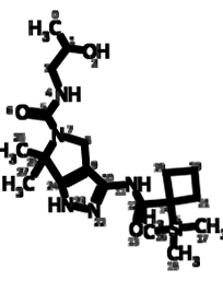 CC(O)CNC(=O)N1Cc2c(NC(=O)C3([Si](C)(C)C)CCC3)n[nH]c2C1(C)C